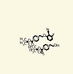 CC(C)(C)OC(=O)N1CCN(CCO)CC1.CC(C)(C)OC(=O)N1CCN(CCOc2cccc(F)c2C#N)CC1